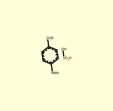 CNc1ccc(C=O)cc1.O=S(=O)(O)O